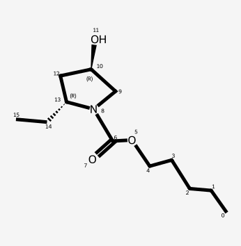 CCCCCOC(=O)N1C[C@H](O)C[C@H]1CC